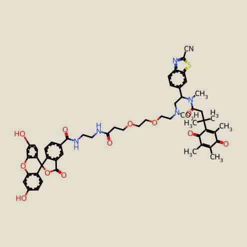 CC1=C(C)C(=O)C(C(C)(C)CC(=O)N(C)C(CN(CCOCCOCCC(=O)NCCNC(=O)c2ccc3c(c2)C(=O)OC32c3ccc(O)cc3Oc3cc(O)ccc32)C(=O)O)c2ccc3nc(C#N)sc3c2)=C(C)C1=O